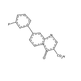 O=C(O)c1cnc2cc(-c3cccc(F)c3)ccn2c1=O